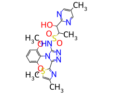 COc1cccc(OC)c1-n1c(NS(=O)(=O)C(C)C(O)c2ncc(C)cn2)nnc1-c1nc(C)cs1